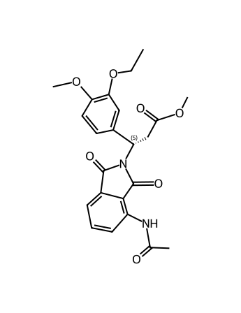 CCOc1cc([C@H](CC(=O)OC)N2C(=O)c3cccc(NC(C)=O)c3C2=O)ccc1OC